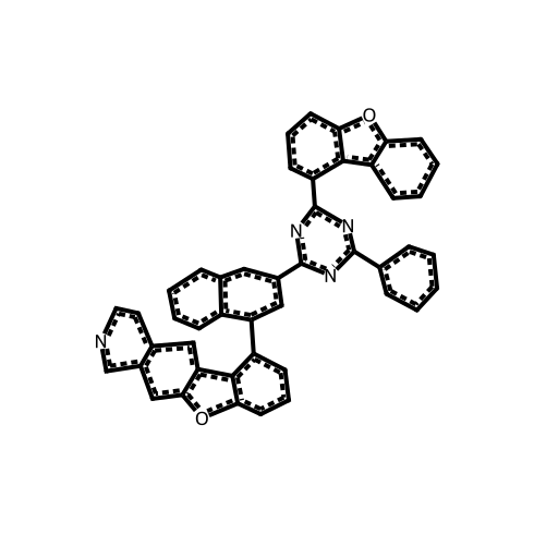 c1ccc(-c2nc(-c3cc(-c4cccc5oc6cc7cnccc7cc6c45)c4ccccc4c3)nc(-c3cccc4oc5ccccc5c34)n2)cc1